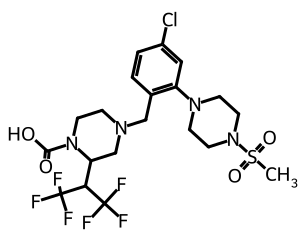 CS(=O)(=O)N1CCN(c2cc(Cl)ccc2CN2CCN(C(=O)O)C(C(C(F)(F)F)C(F)(F)F)C2)CC1